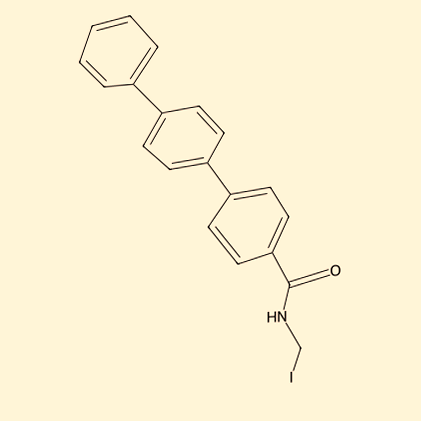 O=C(NCI)c1ccc(-c2ccc(-c3ccccc3)cc2)cc1